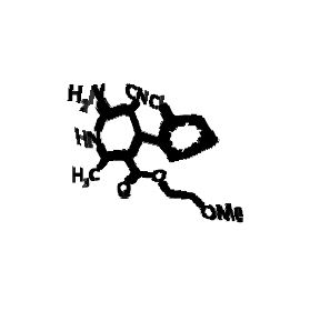 COCCOC(=O)C1=C(C)NC(N)=C(C#N)C1c1ccccc1Cl